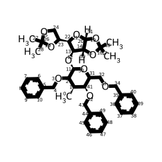 C[C@@H]1C(OCc2ccccc2)[C@H](O[C@@H]2[C@H]3OC(C)(C)O[C@H]3O[C@@H]2C2COC(C)(C)O2)OC(COCc2ccccc2)[C@@H]1OCc1ccccc1